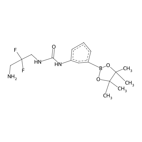 CC1(C)OB(c2cccc(NC(=O)NCC(F)(F)CN)c2)OC1(C)C